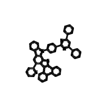 c1ccc(-c2cc(-c3ccccc3)nc(-c3ccc(-n4c5ccccc5c5cc(-c6ccccn6)c6c(sc7c8ccccc8c8ccccc8c76)c54)cc3)n2)cc1